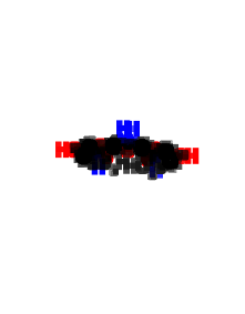 O=C(Nc1ccc(S(=O)(=O)Nc2cccc3c(O)ccc(S(=O)(=O)O)c23)cc1)Nc1ccc(S(=O)(=O)Nc2cccc3c(O)ccc(S(=O)(=O)O)c23)cc1